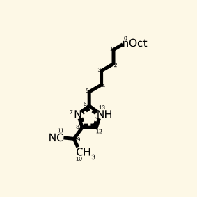 CCCCCCCCCCCCCc1nc(C(C)C#N)c[nH]1